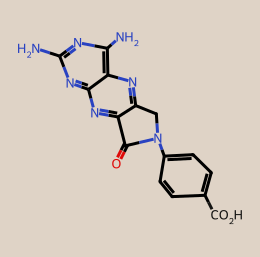 Nc1nc(N)c2nc3c(nc2n1)C(=O)N(c1ccc(C(=O)O)cc1)C3